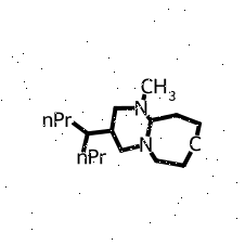 CCCC(CCC)C1CN(C)C2CCCCCN2C1